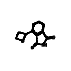 O=C1NC(=O)c2c1cccc2C1CCO1